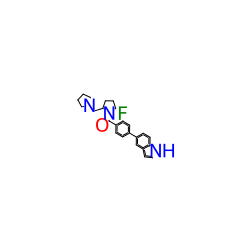 O=C(c1ccc(-c2ccc3[nH]ccc3c2)cc1F)N1CCCC1CN1CCCC1